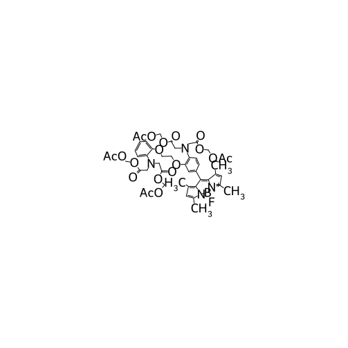 CC(=O)OCOC(=O)CN(CC(=O)OCOC(C)=O)c1ccccc1OCCOc1cc(C2=C3C(C)=CC(C)=[N+]3B(F)n3c(C)cc(C)c32)ccc1N(CC(=O)OCOC(C)=O)CC(=O)OCOC(C)=O